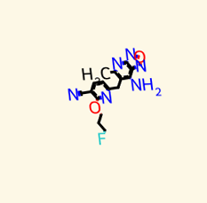 Cc1nc2nonc2c(N)c1Cc1ccc(C#N)c(OCCCF)n1